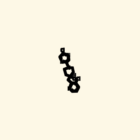 OC1(Cc2ncccc2Cl)CCN(c2cnc(Cl)cn2)CC1